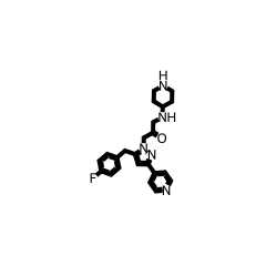 O=C(CNC1CCNCC1)Cn1nc(-c2ccncc2)cc1Cc1ccc(F)cc1